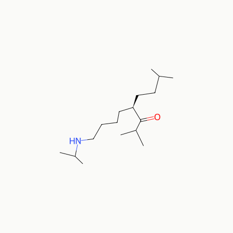 CC(C)CC[C@H](CCCCNC(C)C)C(=O)C(C)C